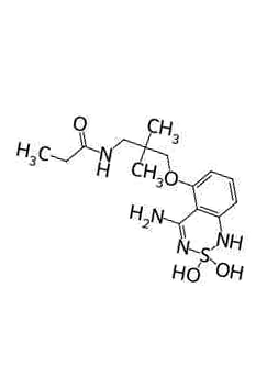 CCC(=O)NCC(C)(C)COc1cccc2c1C(N)=NS(O)(O)N2